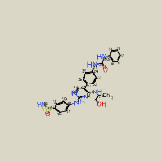 CC(CO)Nc1nc(Nc2ccc([SH](=N)=O)cc2)ncc1-c1ccc(NC(=O)Nc2ccccc2)cc1